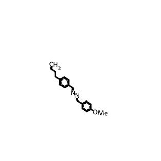 C=CCCc1ccc(/C=N/N=C/c2ccc(OC)cc2)cc1